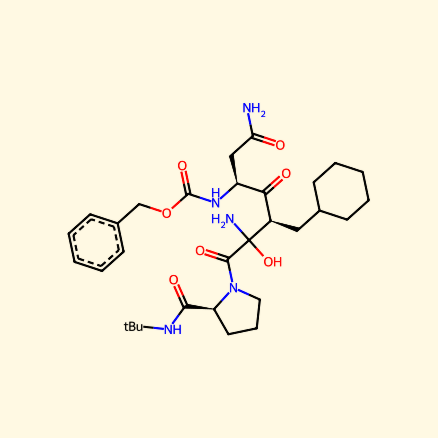 CC(C)(C)NC(=O)[C@@H]1CCCN1C(=O)C(N)(O)[C@H](CC1CCCCC1)C(=O)[C@H](CC(N)=O)NC(=O)OCc1ccccc1